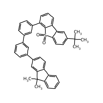 CC(C)(C)c1ccc2c(c1)-c1cccc(-c3cccc(-c4cccc(-c5ccc6c(c5)C(C)(C)c5ccccc5-6)c4)c3)c1S2(=O)=O